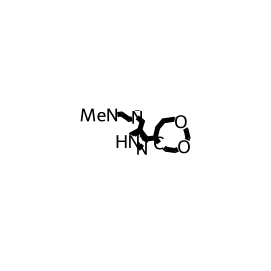 CNCCN(C)Cc1c[nH]nc1C1CCCOCCOCCC1